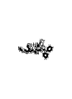 CC(C)C(=O)Nc1nc(OC(=O)N(c2ccccc2)c2ccccc2)c2ncn(C3CC(OCN=[N+]=[N-])C(CO)O3)c2n1